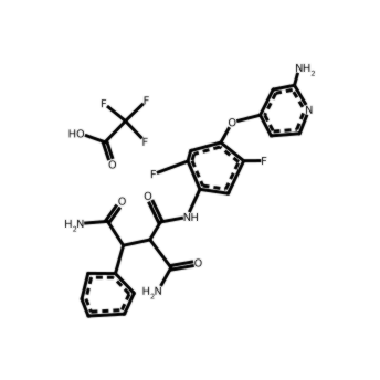 NC(=O)C(C(=O)Nc1cc(F)c(Oc2ccnc(N)c2)cc1F)C(C(N)=O)c1ccccc1.O=C(O)C(F)(F)F